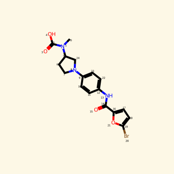 CN(C(=O)O)C1CCN(c2ccc(NC(=O)c3ccc(Br)o3)cc2)C1